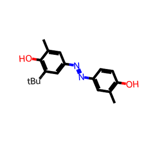 Cc1cc(/N=N/c2cc(C)c(O)c(C(C)(C)C)c2)ccc1O